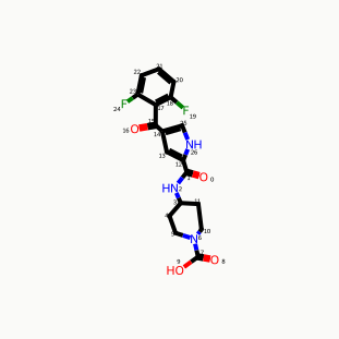 O=C(NC1CCN(C(=O)O)CC1)c1cc(C(=O)c2c(F)cccc2F)c[nH]1